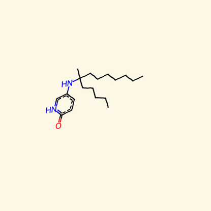 CCCCCCCC(C)(CCCCC)Nc1ccc(=O)[nH]c1